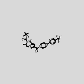 CC(Cn1cc(C(=O)N2CCN(c3ncc(C(F)(F)F)cn3)CC2)cc1F)NC(=O)OC(C)(C)C